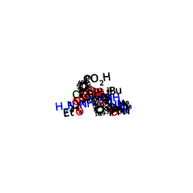 CCC(N)C(=O)C(=O)NC(=O)CN(C(=O)[C@H](CC1CCCCC1)NC(=O)[C@@H](NC(=O)[C@H](CC(C)C)NC(=O)c1cnccn1)[C@@H](C)CC)S(=O)(=O)c1cc(C(=O)O)ccc1Cl